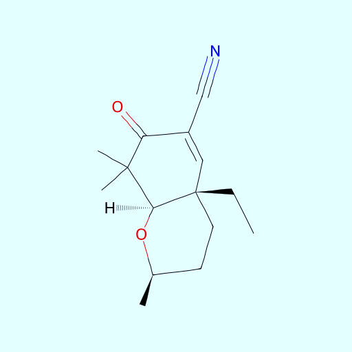 CC[C@]12C=C(C#N)C(=O)C(C)(C)[C@@H]1O[C@H](C)CC2